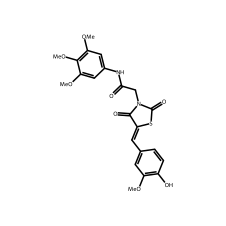 COc1cc(/C=C2\SC(=O)N(CC(=O)Nc3cc(OC)c(OC)c(OC)c3)C2=O)ccc1O